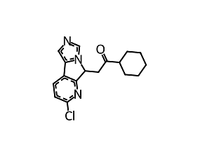 O=C(CC1c2nc(Cl)ccc2-c2cncn21)C1CCCCC1